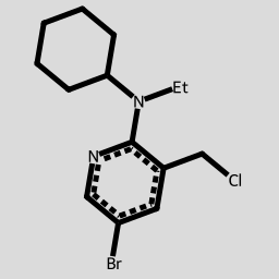 CCN(c1ncc(Br)cc1CCl)C1CCCCC1